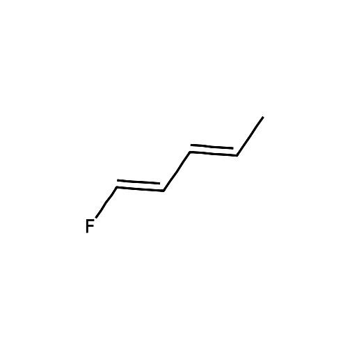 CC=CC=CF